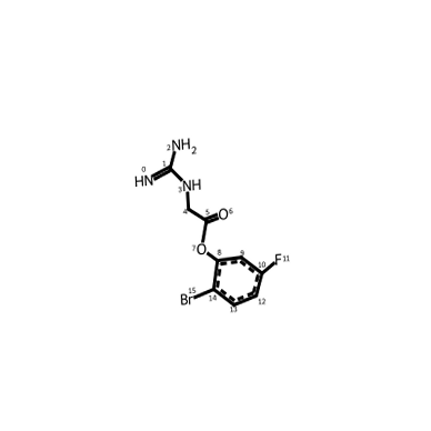 N=C(N)NCC(=O)Oc1cc(F)ccc1Br